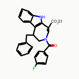 CCOC(=O)C1=CN(C(=O)c2ccc(F)cc2)CC(Cc2ccccc2)c2c1[nH]c1ccccc21